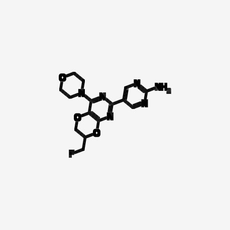 Nc1ncc(-c2nc3c(c(N4CCOCC4)n2)OCC(CF)O3)cn1